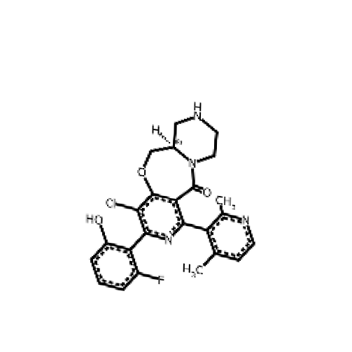 Cc1ccnc(C)c1-c1nc(-c2c(O)cccc2F)c(Cl)c2c1C(=O)N1CCNC[C@@H]1CO2